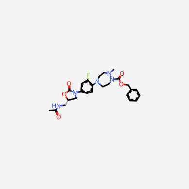 CC(=O)NC[C@H]1CN(c2ccc(N3CCN(C)N(C(=O)OCc4ccccc4)CC3)c(F)c2)C(=O)O1